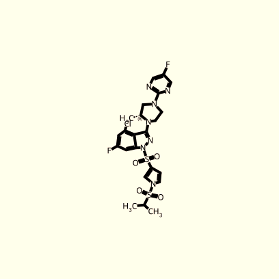 CC(C)S(=O)(=O)n1ccc(S(=O)(=O)n2nc(N3CCN(c4ncc(F)cn4)C[C@H]3C)c3c(Cl)cc(F)cc32)c1